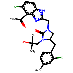 COC(=O)c1c(Cl)ccc2[nH]c(CN3CC(Cc4ccc(OC)cc4Cl)N(CC(C)(C)O)C3=O)nc12